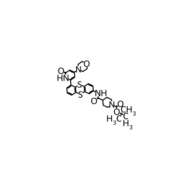 CC(C)(C)OC(=O)N1CCC(C(=O)Nc2ccc3c(c2)Sc2cccc(-c4cc(N5CCOCC5)cc(=O)[nH]4)c2S3)CC1